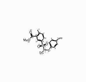 CCN(Sc1ccc(C(C)C)cc1)S(=O)(=O)c1ccc(C)c(C(=O)OC)c1